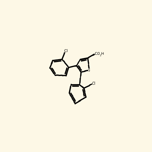 O=C(O)c1cc(-c2ccccc2Cl)c(-c2ccccc2Cl)s1